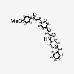 COc1ccc(C(=O)/C=C/c2ccc(OCC(=O)NC3CCN(Cc4ccccc4)CC3)cc2)cc1